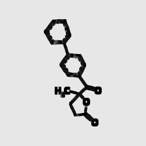 CC1(C(=O)c2ccc(-c3ccccc3)cc2)CCC(=O)O1